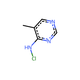 Cc1cncnc1NCl